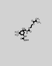 C=C(C)C(=O)OCCOC(=O)NCC1(C)CC(NC(=O)NC)CC(C)(C)C1